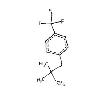 CC(C)(C)Cc1ccc(C(F)(F)F)cc1